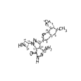 COc1cc(C)cc2cc(-c3nn(C4CNC4)c4c(=O)[nH]nc(N)c34)sc12